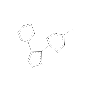 N#Cc1ccc(-c2n[nH]cc2-c2ccccc2)cc1